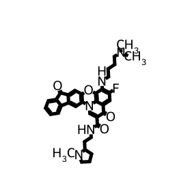 CN(C)CCCCNc1c(F)cc2c(=O)c(C(=O)NCCC3CCCN3C)cn3c4cc5c(cc4oc1c23)c(=O)c1ccccc15